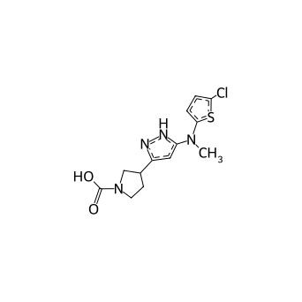 CN(c1cc(C2CCN(C(=O)O)C2)n[nH]1)c1ccc(Cl)s1